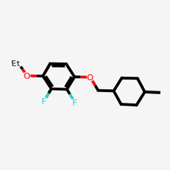 CCOc1ccc(OCC2CCC(C)CC2)c(F)c1F